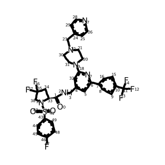 O=C(NCc1cc(-c2ccc(C(F)(F)F)cc2)nc(N2CCN(Cc3ccncc3)CC2)c1)[C@@H]1CC(F)(F)CN1S(=O)(=O)c1ccc(F)cc1